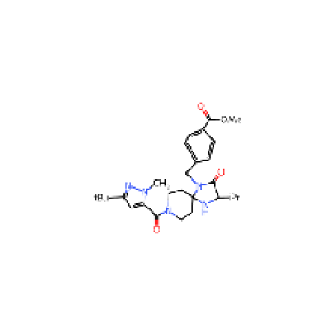 COC(=O)c1ccc(CN2C(=O)C(C(C)C)NC23CCN(C(=O)c2cc(C(C)(C)C)nn2C)CC3)cc1